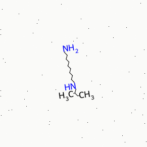 CCC(C)CNCCCCCCCCCCN